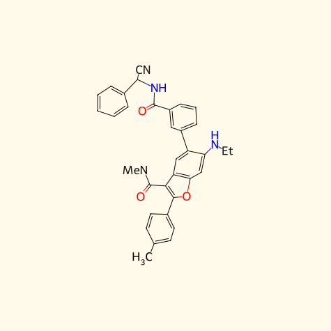 CCNc1cc2oc(-c3ccc(C)cc3)c(C(=O)NC)c2cc1-c1cccc(C(=O)NC(C#N)c2ccccc2)c1